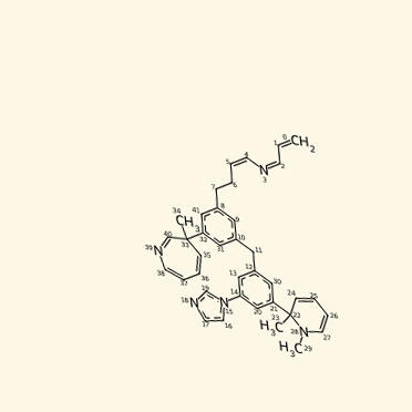 C=C/C=N\C=C/CCc1cc(Cc2cc(-n3ccnc3)cc(C3(C)C=CC=CN3C)c2)cc(C2(C)C=CC=CN=C2)c1